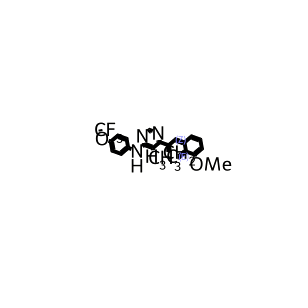 C=C(/C=c1/cccc(OC)/c1=C/C)c1ncnc(Nc2ccc(OC(F)(F)F)cc2)c1C